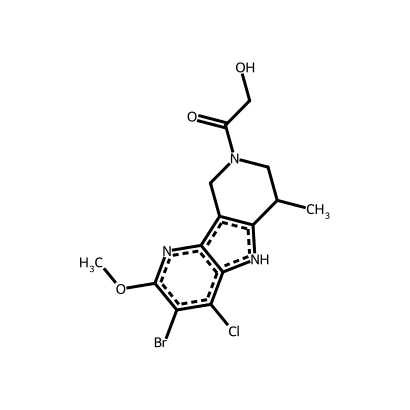 COc1nc2c3c([nH]c2c(Cl)c1Br)C(C)CN(C(=O)CO)C3